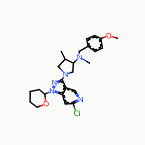 COc1ccc(CN(C)C2CN(c3nn(C4CCCCO4)c4cc(Cl)ncc34)CC2C)cc1